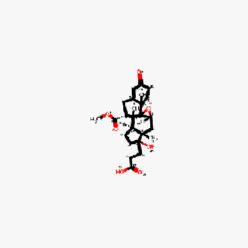 COC(=O)[C@@H]1CC2=CC(=O)CC[C@]2(C)C23O[C@@H]2C[C@@]2(C)[C@@H](CC[C@@]2(O)CCC(=O)O)[C@]13C